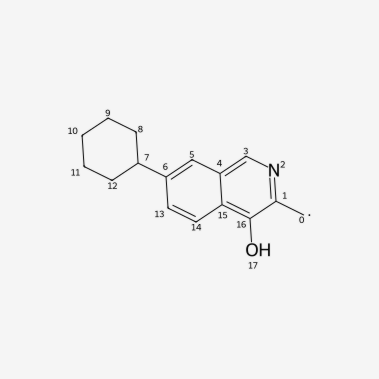 [CH2]c1ncc2cc(C3CCCCC3)ccc2c1O